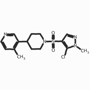 Cc1ccncc1C1CCN(S(=O)(=O)c2cnn(C)c2Cl)CC1